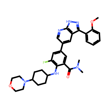 COc1ccccc1-c1n[nH]c2ncc(-c3cc(F)c(NC4CCC(N5CCOCC5)CC4)c(C(=O)N(C)C)c3)cc12